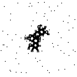 COc1cc2c(c(OC)c1C)CC1C(=O)C3[C@@H](Cc4cc(C)c(C)c(OC)c4[C@@H]3CO)C2N1C